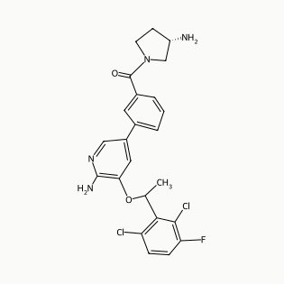 CC(Oc1cc(-c2cccc(C(=O)N3CC[C@H](N)C3)c2)cnc1N)c1c(Cl)ccc(F)c1Cl